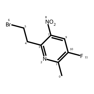 Cc1nc(CCBr)c([N+](=O)[O-])cc1F